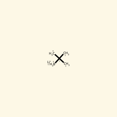 [BH3-]C(C)(C)C.[Li+]